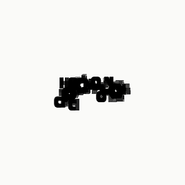 O=C(CCCN1CCC(O)(c2ccc(Cl)c(Cl)c2)CC1)c1ccc(F)cc1[N+](=O)[O-]